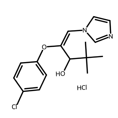 CC(C)(C)C(O)C(=Cn1ccnc1)Oc1ccc(Cl)cc1.Cl